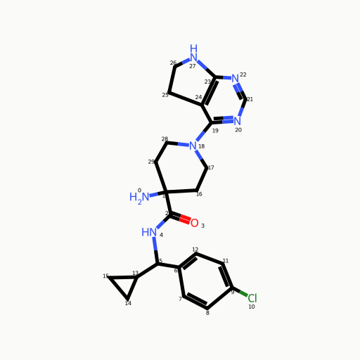 NC1(C(=O)NC(c2ccc(Cl)cc2)C2CC2)CCN(c2ncnc3c2CCN3)CC1